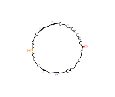 O=C1CCCCCCCC/C=C\C/C=C\CCCCPCCCC/C=C\C/C=C\CCCCCCCC1